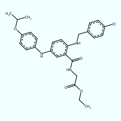 CCOC(=O)CNC(=O)c1cc(Nc2ccc(OC(C)C)cc2)ccc1NCc1ccc(Cl)cc1